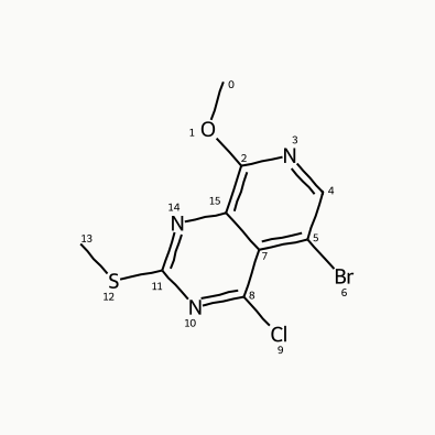 COc1ncc(Br)c2c(Cl)nc(SC)nc12